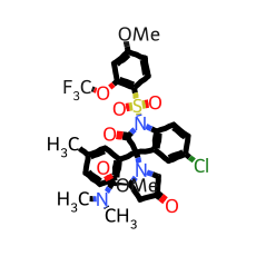 COc1ccc(S(=O)(=O)N2C(=O)C(c3cc(C)ccc3OC)(N3CC(=O)C[C@H]3C(=O)N(C)C)c3cc(Cl)ccc32)c(OC(F)(F)F)c1